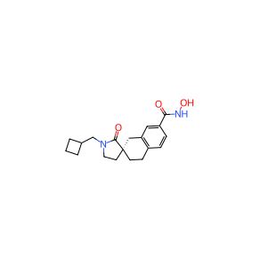 O=C(NO)c1ccc2c(c1)C[C@]1(CC2)CCN(CC2CCC2)C1=O